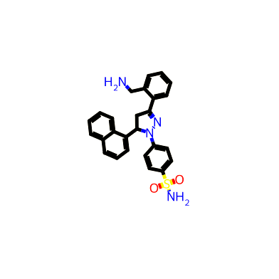 NCc1ccccc1C1=NN(c2ccc(S(N)(=O)=O)cc2)C(c2cccc3ccccc23)C1